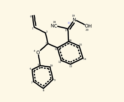 C=CCC(Oc1ccccc1)c1ccccc1/C(C#N)=N\O